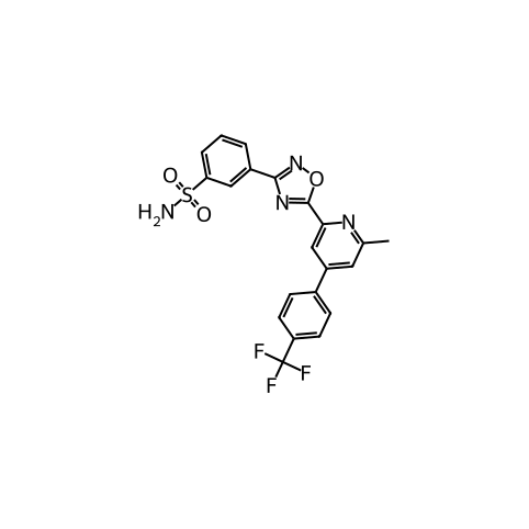 Cc1cc(-c2ccc(C(F)(F)F)cc2)cc(-c2nc(-c3cccc(S(N)(=O)=O)c3)no2)n1